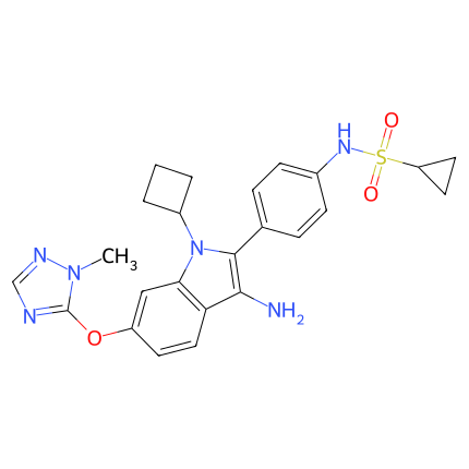 Cn1ncnc1Oc1ccc2c(N)c(-c3ccc(NS(=O)(=O)C4CC4)cc3)n(C3CCC3)c2c1